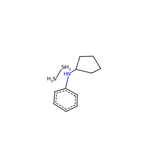 [SiH3][SiH3].c1ccc(NC2CCCC2)cc1